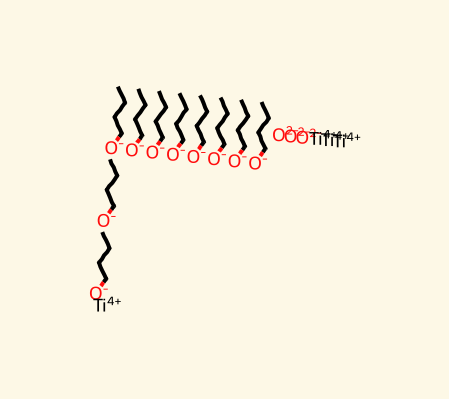 CCCC[O-].CCCC[O-].CCCC[O-].CCCC[O-].CCCC[O-].CCCC[O-].CCCC[O-].CCCC[O-].CCCC[O-].CCCC[O-].[O-2].[O-2].[O-2].[Ti+4].[Ti+4].[Ti+4].[Ti+4]